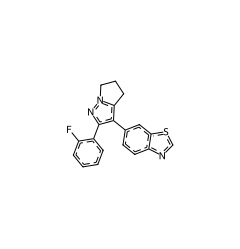 Fc1ccccc1-c1nn2c(c1-c1ccc3ncsc3c1)CCC2